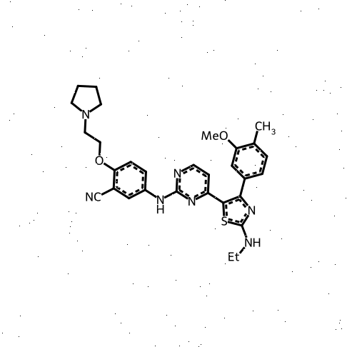 CCNc1nc(-c2ccc(C)c(OC)c2)c(-c2ccnc(Nc3ccc(OCCN4CCCC4)c(C#N)c3)n2)s1